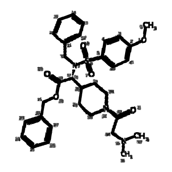 COc1ccc(S(=O)(=O)N(Cc2ccccc2)[C@@H](C(=O)OCc2ccccc2)C2CCN(C(=O)CN(C)C)CC2)cc1